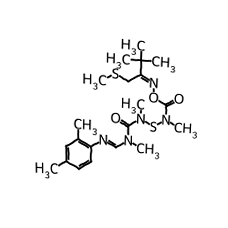 CSCC(=NOC(=O)N(C)SN(C)C(=O)N(C)C=Nc1ccc(C)cc1C)C(C)(C)C